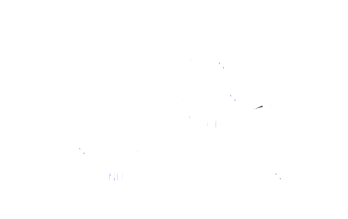 CC[C@@H](c1cccc(C#N)c1)n1c(CC2CC2)nc(=O)c(S(=O)(=O)c2ccc(-c3cccnc3C(N)=O)cc2)c1O